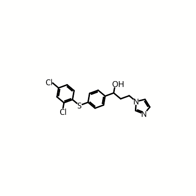 OC(CCn1ccnc1)c1ccc(Sc2ccc(Cl)cc2Cl)cc1